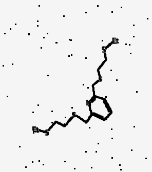 CCSCCSCc1cccc(CSCCSCC)n1